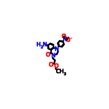 CCOC(=O)CCN1CCN(c2ccc([N+](=O)[O-])cc2)c2ccc(N)cc2C1=O